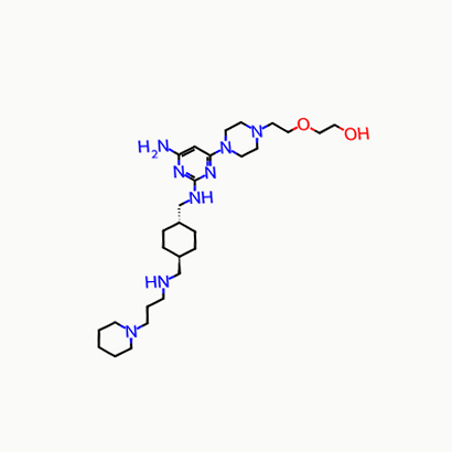 Nc1cc(N2CCN(CCOCCO)CC2)nc(NC[C@H]2CC[C@H](CNCCCN3CCCCC3)CC2)n1